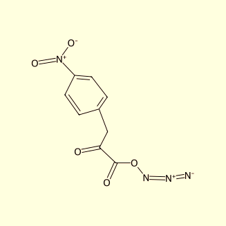 [N-]=[N+]=NOC(=O)C(=O)Cc1ccc([N+](=O)[O-])cc1